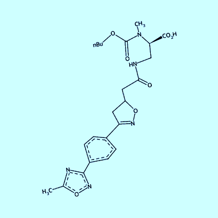 CCCCOC(=O)N(C)[C@H](CNC(=O)CC1CC(c2ccc(-c3noc(C)n3)cc2)=NO1)C(=O)O